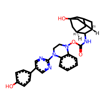 O=C(NC1[C@@H]2CC3C[C@H]1CC(O)(C3)C2)ON1CCN(c2ncc(-c3ccc(O)cc3)cn2)c2ccccc21